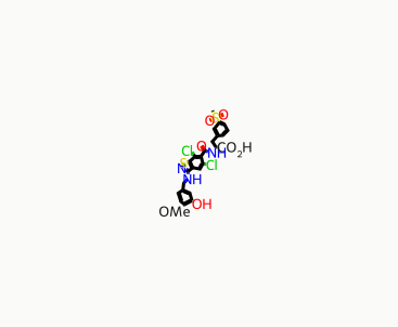 COc1ccc(CNc2nsc3c(Cl)c(C(=O)NC(Cc4cccc(S(C)(=O)=O)c4)C(=O)O)c(Cl)cc23)cc1O